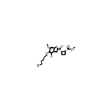 COC(=O)[C@@H]1CC[C@H]1C(=O)c1cc2c(F)c(OCCCCCBr)c(OC)cc2s1